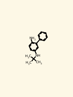 CC(C)(C)Nc1ccc(N)c(-c2ccccc2)c1